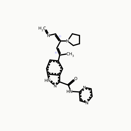 C=N/C=C(\C=C(/C)c1ccc2[nH]nc(C(=O)Nc3cnccn3)c2c1)N1CCCC1